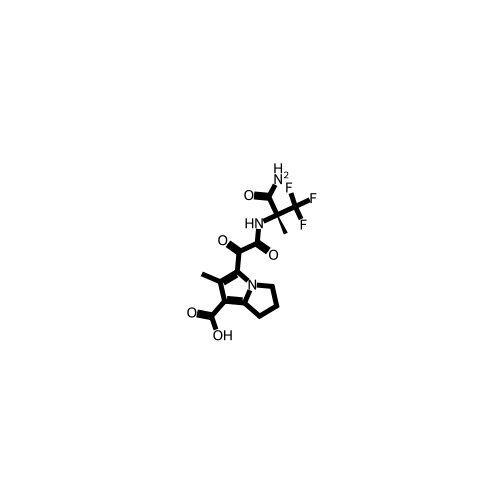 Cc1c(C(=O)O)c2n(c1C(=O)C(=O)N[C@](C)(C(N)=O)C(F)(F)F)CCC2